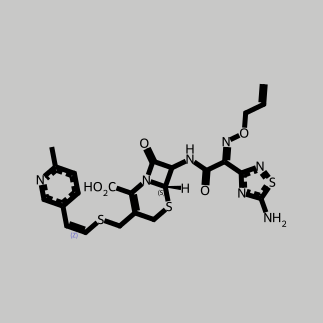 C=CCON=C(C(=O)NC1C(=O)N2C(C(=O)O)=C(CS/C=C\c3ccc(C)nc3)CS[C@@H]12)c1nsc(N)n1